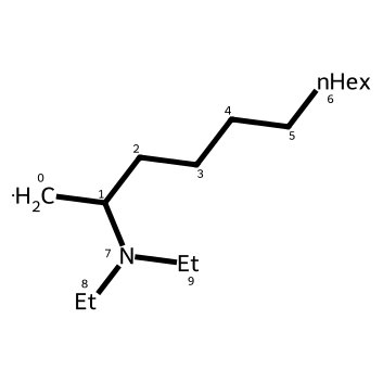 [CH2]C(CCCCCCCCCC)N(CC)CC